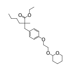 CCCCC(C)(Cc1ccc(OCCOC2CCCCO2)cc1)C(=O)OCC